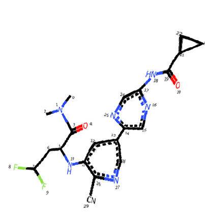 CN(C)C(=O)C(CC(F)F)Nc1cc(-c2cnc(NC(=O)C3CC3)cn2)cnc1C#N